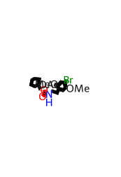 COc1cc(CCNC(=O)OCC2(OC(C)=O)CCCCC2)c(OC)cc1Br